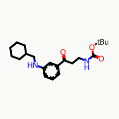 CC(C)(C)OC(=O)NCCC(=O)c1cccc(NCC2CCCCC2)c1